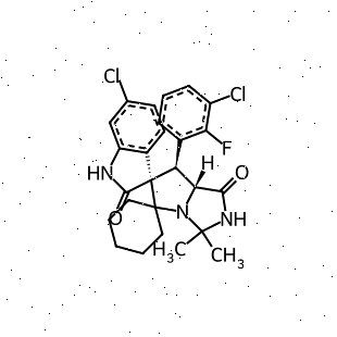 CC1(C)NC(=O)[C@H]2[C@H](c3cccc(Cl)c3F)[C@]3(C(=O)Nc4cc(Cl)ccc43)C3(CCCCC3)N21